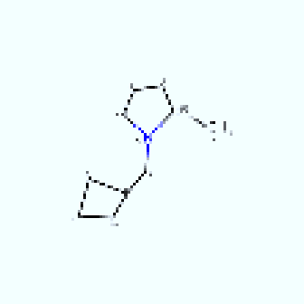 C[C@H]1CCCN1CC1CCC1